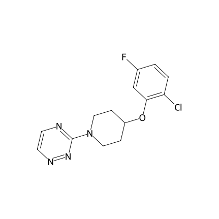 Fc1ccc(Cl)c(OC2CCN(c3nccnn3)CC2)c1